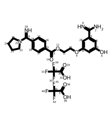 N=C(N)c1cc(O)cc(OCCOC(=O)c2ccc(C(=N)N3CCCC3)cc2)c1.O=C(O)C(F)(F)F.O=C(O)C(F)(F)F